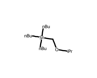 CCC[CH2][Sn]([CH2]CCC)([CH2]CCC)[CH2]OC(C)C